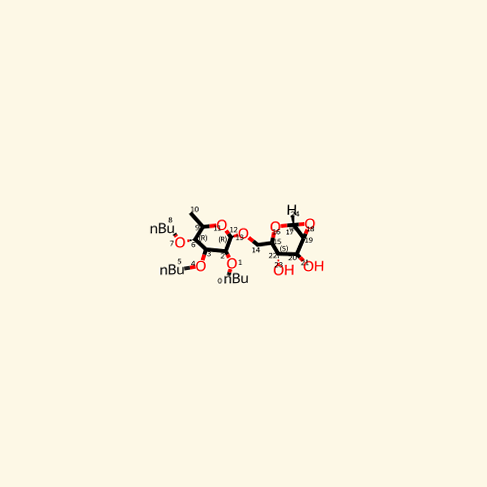 CCCCOC1C(OCCCC)[C@H](OCCCC)C(C)O[C@H]1OCC1O[C@@H]2OC2C(O)[C@@H]1O